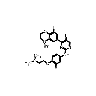 CC(C)N1CCOc2c(F)cc(-c3nc(Nc4ccc(OCCN(C)C)c(F)c4)ncc3F)cc21